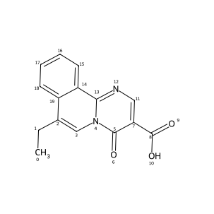 CCc1cn2c(=O)c(C(=O)O)cnc2c2ccccc12